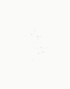 CC(C)CC(C(=O)Nc1nc(C(=O)O)cs1)N1C(=O)N[C@H](c2ccccc2)C1=O